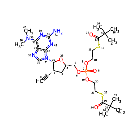 C#C[C@H]1C[C@@H](COP(=O)(OCCSC(=O)C(C)(C)C)OCCSC(=O)C(C)(C)C)O[C@H]1n1cnc2c(N(C)C)nc(N)nc21